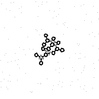 FC(F)(F)c1ccc(-c2nc(-c3ccccc3)nc(-c3ccccc3)n2)cc1-n1c2ccccc2c2cc(-c3cc4c5c(c3)N(c3cc(-c6ccccc6)cc(-c6ccccc6)c3)c3ccccc3B5c3ccccc3N4c3cc(-c4ccccc4)cc(-c4ccccc4)c3)ccc21